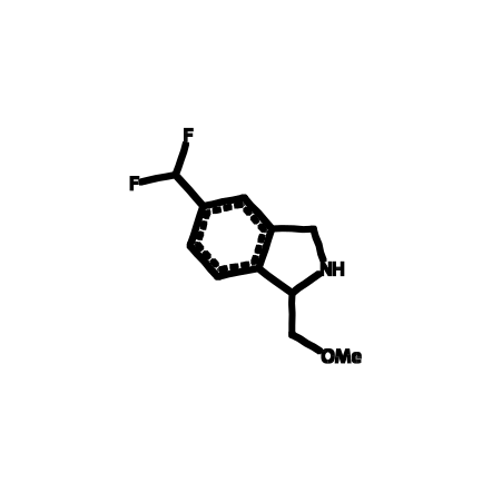 COCC1NCc2cc(C(F)F)ccc21